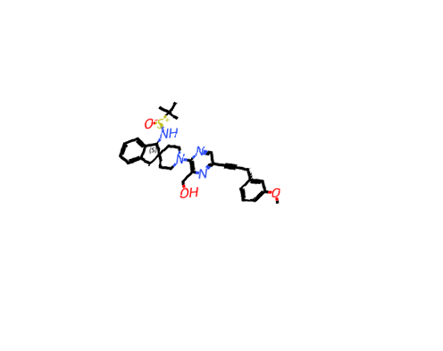 COc1cccc(CC#Cc2cnc(N3CCC4(CC3)Cc3ccccc3[C@H]4N[S+]([O-])C(C)(C)C)c(CO)n2)c1